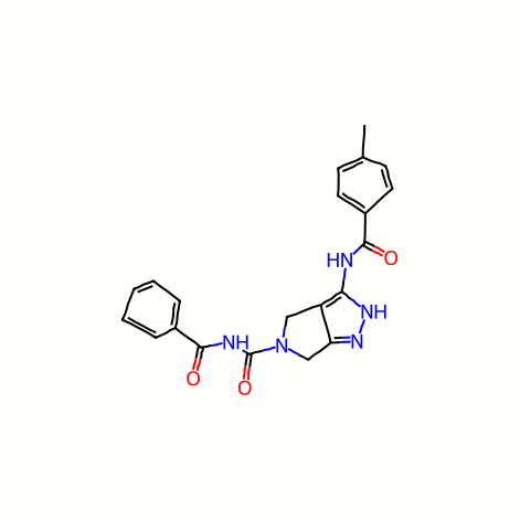 Cc1ccc(C(=O)Nc2[nH]nc3c2CN(C(=O)NC(=O)c2ccccc2)C3)cc1